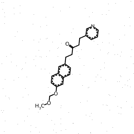 COCOc1ccc2cc(CCC(=O)CCc3cccnc3)ccc2c1